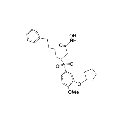 COc1ccc(S(=O)(=O)C(CCCCc2ccccc2)CC(=O)NO)cc1OC1CCCC1